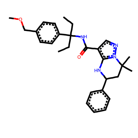 CCC(CC)(NC(=O)c1cnn2c1NC(c1ccccc1)CC2(C)C)c1ccc(COC)cc1